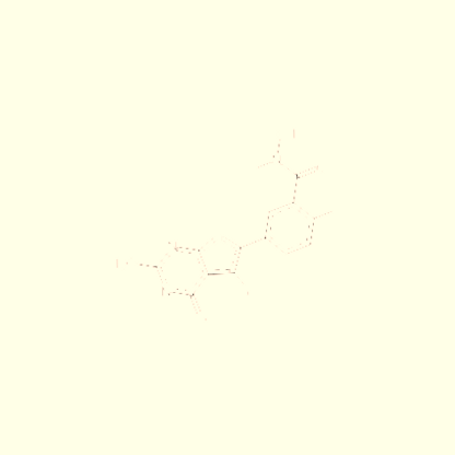 Cc1nc2sc(-c3ccc(Cl)c(C(=O)N(C)C)c3)c(C)c2c(=O)[nH]1